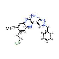 COc1cc2nc(N)c(-c3cnn(Cc4ccccc4)c3)nc2cc1CCCl